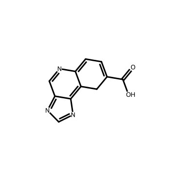 O=C(O)C1=CC=c2ncc3c(c2C1)N=CN=3